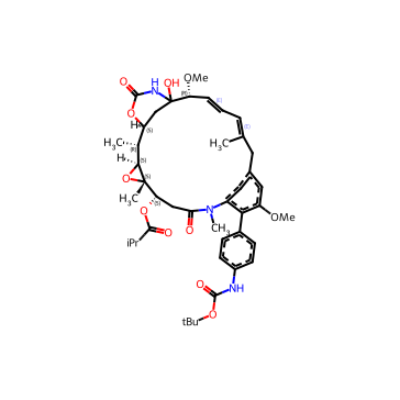 COc1cc2cc(c1-c1ccc(NC(=O)OC(C)(C)C)cc1)N(C)C(=O)C[C@H](OC(=O)C(C)C)[C@]1(C)O[C@H]1[C@H](C)[C@@H]1CC(O)(NC(=O)O1)[C@H](OC)/C=C/C=C(\C)C2